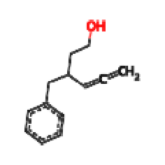 C=C=CC(CCO)Cc1ccccc1